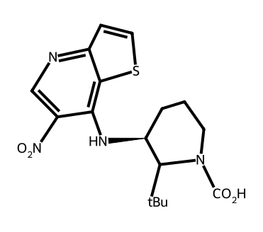 CC(C)(C)C1[C@@H](Nc2c([N+](=O)[O-])cnc3ccsc23)CCCN1C(=O)O